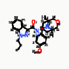 CCCn1nc(C(=O)N[C@H]2C[C@H]3COC[C@@H](C2)N3Cc2ccc(OC)cc2)c2ccccc21